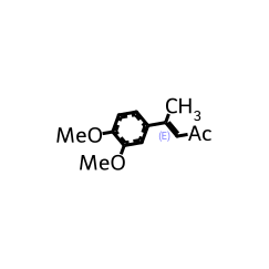 COc1ccc(/C(C)=C/C(C)=O)cc1OC